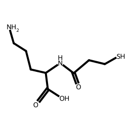 NCCCC(NC(=O)CCS)C(=O)O